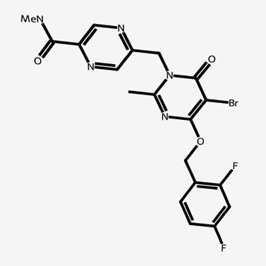 CNC(=O)c1cnc(Cn2c(C)nc(OCc3ccc(F)cc3F)c(Br)c2=O)cn1